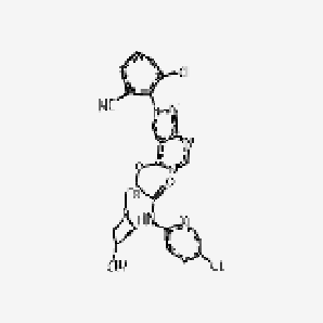 N#Cc1cccc(Cl)c1-n1cc2c(O[C@@H](CN3CC(O)C3)C(=O)Nc3ccc(Cl)cn3)ncnc2n1